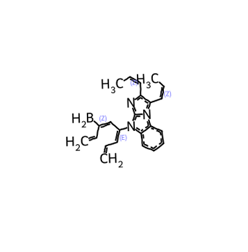 B/C(C=C)=C/C(=C\C=C)n1c2ccccc2n2c(/C=C\C)c(/C=C\C)nc12